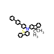 CC1(C)c2ccccc2-c2ccc(N(c3ccc(-c4ccc(-c5ccccc5)cc4)cc3)c3cccc4c3sc3ccccc34)cc21